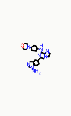 NN1C=NCc2cc(-c3cn4ccnc4c(Nc4ccc(N5CCOCC5)cc4)n3)ccc21